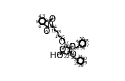 O=C1c2ccccc2C(=O)N1CCCCCOC[C@H]1O[C@H](O)C[C@@H](OCc2ccccc2)[C@@H]1OCc1ccccc1